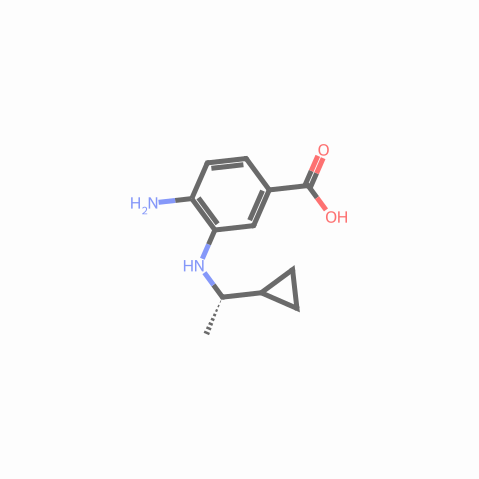 C[C@H](Nc1cc(C(=O)O)ccc1N)C1CC1